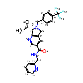 CC(C)[C@H]1c2ncc(C(=O)NCc3ccccn3)cc2CN1Cc1ccc(C(F)(F)F)cc1